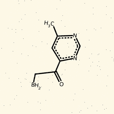 BCC(=O)c1cc(C)ncn1